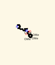 COc1cc(C(=O)C(=O)N2CC[C@@]2(CCCc2cccnc2)C(=O)O)cc(OC)c1OC